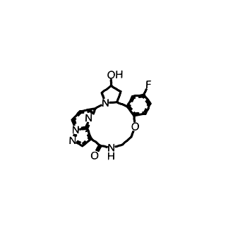 O=C1NCCOc2ccc(F)cc2C2CC(O)CN2c2ccn3ncc1c3n2